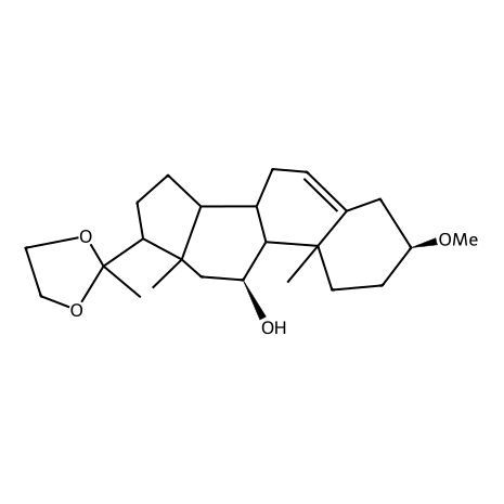 CO[C@H]1CCC2(C)C(=CCC3C2[C@@H](O)CC2(C)C3CCC2C2(C)OCCO2)C1